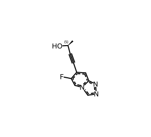 C[C@H](O)C#Cc1cc2nncn2cc1F